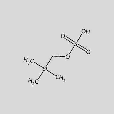 C[Si](C)(C)COS(=O)(=O)O